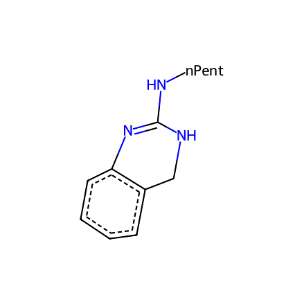 CCCCCNC1=Nc2ccccc2CN1